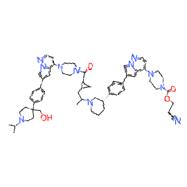 CC(C)N1CCC(CO)(c2ccc(-c3cc4c(N5CCN(C(=O)C6CC6CC(C)N6CCC[C@@H](c7ccc(-c8cc9c(N%10CCN(C(=O)OCCC#N)CC%10)ccnn9c8)cc7)C6)CC5)ccnn4c3)cc2)CC1